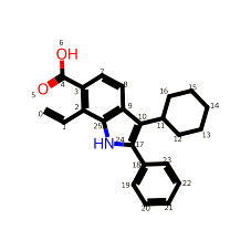 C=Cc1c(C(=O)O)ccc2c(C3CCCCC3)c(-c3ccccc3)[nH]c12